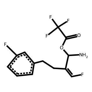 NC(OC(=O)C(F)(F)F)/C(=C\F)CCc1cccc(F)c1